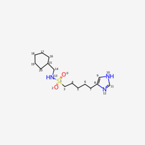 O=S(=O)(CCCCCc1c[nH]cn1)NCC1CCCCC1